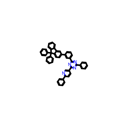 c1ccc(-c2ccc(-c3nc(-c4ccccc4)nc(-c4cccc(-c5ccc6c(c5)-c5ccccc5C6(c5ccccc5)c5ccccc5)c4)n3)cn2)cc1